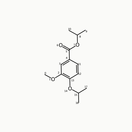 COc1cc(C(=O)OC(C)C)ccc1OC(C)C